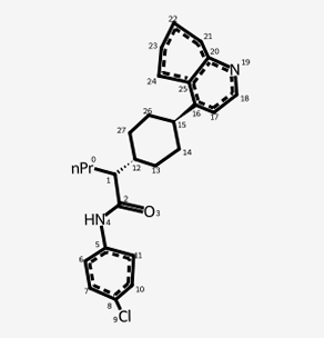 CCCC(C(=O)Nc1ccc(Cl)cc1)[C@H]1CC[C@H](c2ccnc3ccccc32)CC1